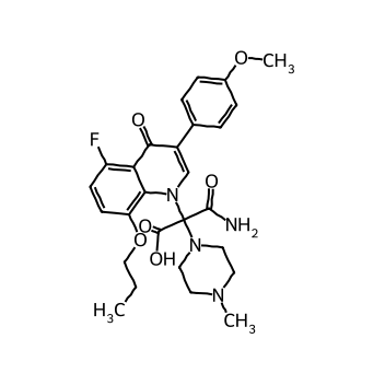 CCCOc1ccc(F)c2c(=O)c(-c3ccc(OC)cc3)cn(C(C(N)=O)(C(=O)O)N3CCN(C)CC3)c12